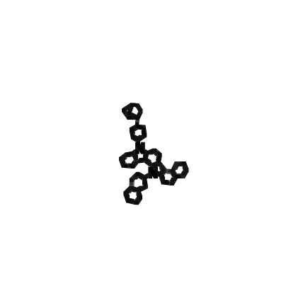 c1ccc2cc(-n3c4ccc5ccccc5c4c4ccc5c(c6ccccc6n5-c5ccc(C67CCC(CC6)C7)cc5)c43)ccc2c1